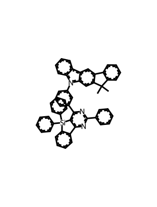 CC1(C)c2ccccc2-c2cc3c4ccccc4n(-c4cccc(-c5nc(-c6ccccc6)nc6c5[Si](c5ccccc5)(c5ccccc5)c5ccccc5-6)c4)c3cc21